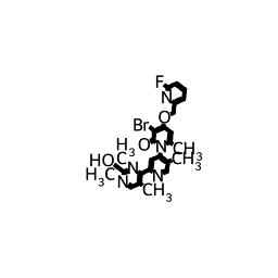 Cc1cnc(-c2nc(C(C)(C)O)ncc2C)cc1-n1c(C)cc(OCc2cccc(F)n2)c(Br)c1=O